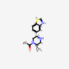 CC(C)C(=O)N1C[C@H](c2ccc3scnc3c2)NC[C@H]1C